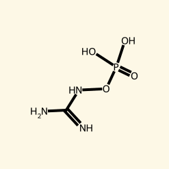 N=C(N)NOP(=O)(O)O